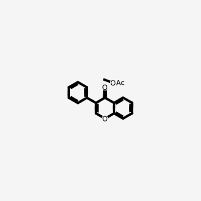 COC(C)=O.O=c1c(-c2ccccc2)coc2ccccc12